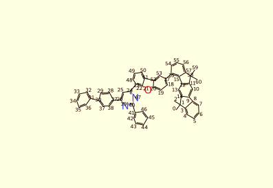 CC1(C)c2ccccc2-c2cc3c(cc21)-c1c(-c2ccc4oc5c(-c6cc(-c7ccc(-c8ccccc8)cc7)nc(-c7ccccc7)n6)cccc5c4c2)cccc1C3(C)C